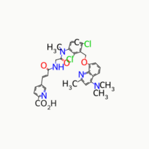 Cc1cc(N(C)C)c2cccc(OCc3c(Cl)ccc(N(C)C(=O)CNC(=O)/C=C/c4ccc(C(=O)O)nc4)c3Cl)c2n1